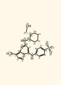 Bc1cnn2c(Nc3ccc(S(C)(=O)=O)cc3)cc(N[C@@H]3CCCC[C@H]3CO)nc12